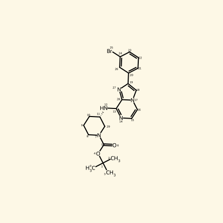 CC(C)(C)OC(=O)N1CCC[C@H](Nc2nccn3cc(-c4cccc(Br)c4)nc23)C1